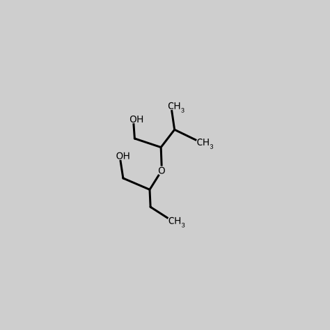 CCC(CO)OC(CO)C(C)C